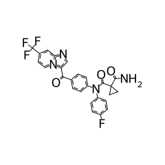 NC(=O)C1(C(=O)N(c2ccc(F)cc2)c2ccc(C(=O)c3cnc4cc(C(F)(F)F)ccn34)cc2)CC1